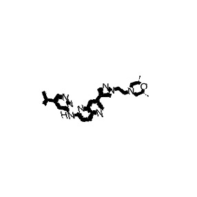 CC(C)c1cnnc(Nc2ccc3ncc(-c4cnn(CCN5C[C@@H](C)O[C@@H](C)C5)c4)cc3n2)c1